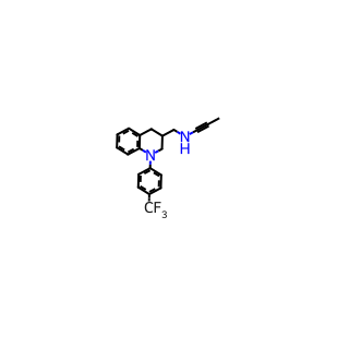 CC#CNCC1Cc2ccccc2N(c2ccc(C(F)(F)F)cc2)C1